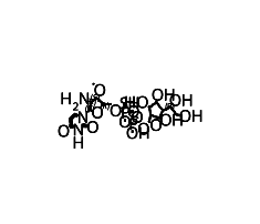 CO[C@H]1[C@@H](N)[C@H](n2ccc(=O)[nH]c2=O)O[C@@H]1COP(=O)(S)OP(=O)(O)OC1OC2(O)C1C(O)C(O)C2[C@@H](O)CO